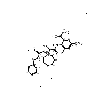 CCCC(C(=O)Nc1c(C)cc(OC)cc1C(=O)OC)[N+]1(CC(=O)OCc2ccccc2)CCCCCC1